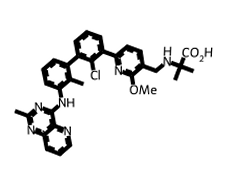 COc1nc(-c2cccc(-c3cccc(Nc4nc(C)nc5cccnc45)c3C)c2Cl)ccc1CNC(C)(C)C(=O)O